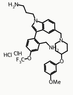 COc1cccc(OC2CCN(Cc3ccc4c(c3)c(-c3ccc(OC(F)(F)F)cc3CN)cn4CCCN)CC2)c1.Cl.Cl